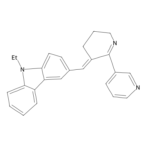 CCn1c2ccccc2c2cc(/C=C3\CCCN=C3c3cccnc3)ccc21